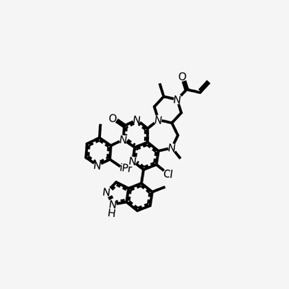 C=CC(=O)N1CC2CN(C)c3c(Cl)c(-c4c(C)ccc5[nH]ncc45)nc4c3c(nc(=O)n4-c3c(C)ccnc3C(C)C)N2CC1C